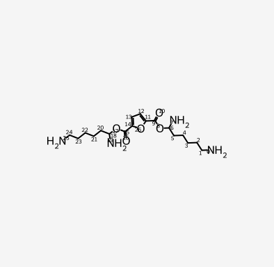 NCCCCCC(N)OC(=O)c1ccc(C(=O)OC(N)CCCCCN)o1